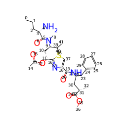 CCC[C@H](N)C(=O)N(C)[C@H](C[C@@H](OC(C)=O)c1nc(C(=O)N[C@@H](Cc2ccccc2)C[C@H](C)C(=O)OC)cs1)C(C)C